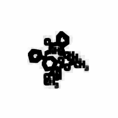 COc1ccccc1C(=O)NC[C@]1(c2ccccc2)CC[C@](NC(=O)OC(C)C)(C(=O)OC)CC1